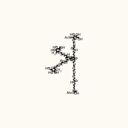 COP(=O)(O)OCCCCCNC(=O)CCOCCOCCOCCOCCNC(=O)[C@H](CCCCNC(=O)CCOCCOC1OC(CO)C(O)C(O)C1NC(C)=O)NC(=O)[C@H](CCCCNC(=O)CCOCCOC1OC(CO)C(O)C(O)C1C)NC(=O)CCOCCOC1OC(CO)C(O)C(O)C1C